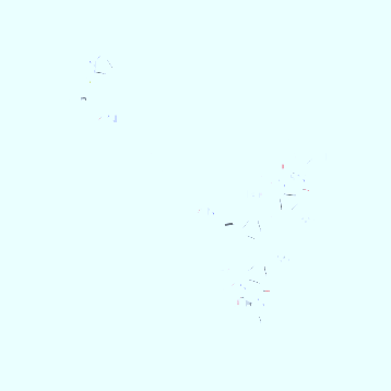 C=C1C[C@H]2C(OC3CCCCO3)N(C(=O)OC(C)(C)C)c3cc(OCc4cc(C#CCNC(=O)CCOCCOCCOCCOCCNC(=O)OC[C@@H](C)SSc5ccccn5)cc(COc5cc6c(cc5OC)C(=O)N5CC(=C)C[C@H]5[C@H](OC5CCCCO5)N6C(=O)OC(C)(C)C)c4)c(OC)cc3C(=O)N2C1